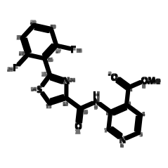 COC(=O)c1ccncc1NC(=O)c1csc(-c2c(F)cccc2F)n1